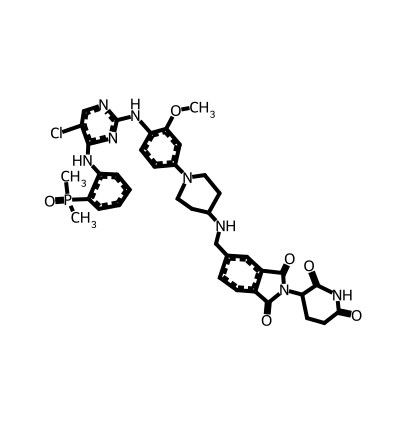 COc1cc(N2CCC(NCc3ccc4c(c3)C(=O)N(C3CCC(=O)NC3=O)C4=O)CC2)ccc1Nc1ncc(Cl)c(Nc2ccccc2P(C)(C)=O)n1